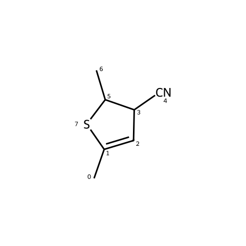 CC1=CC(C#N)C(C)S1